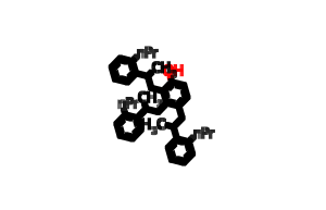 CCCc1ccccc1C(C)Cc1ccc(O)c(CC(C)c2ccccc2CCC)c1CC(C)c1ccccc1CCC